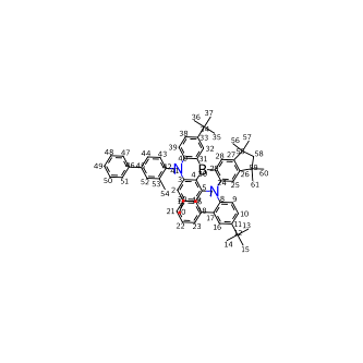 Cc1cc2c3c(c1)N(c1ccc(C(C)(C)C)cc1-c1ccccc1)c1cc4c(cc1B3c1cc(C(C)(C)C)ccc1N2c1ccc(-c2ccccc2)cc1C)C(C)(C)CC4(C)C